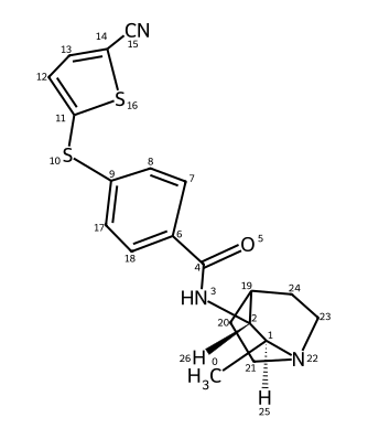 C[C@H]1[C@H](NC(=O)c2ccc(Sc3ccc(C#N)s3)cc2)C2CCN1CC2